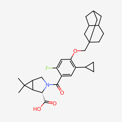 CC1(C)C2CN(C(=O)c3cc(C4CC4)c(OCC45CCC6CC(CC6C4)C5)cc3F)[C@H](C(=O)O)C21